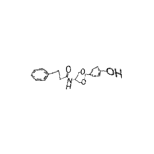 O=C(CCc1ccccc1)N[C@H]1CO[C@H](c2ccc(O)cc2)OC1